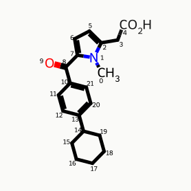 Cn1c(CC(=O)O)ccc1C(=O)c1ccc(C2CCCCC2)cc1